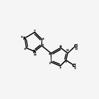 Clc1ccc(-c2ccncn2)cc1Cl